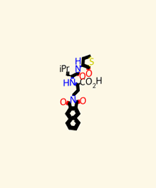 CC(C)C[C@H](N[C@H](CCN1C(=O)c2cc3ccccc3cc2C1=O)C(=O)O)C(=O)N[C@H]1CCSC1=O